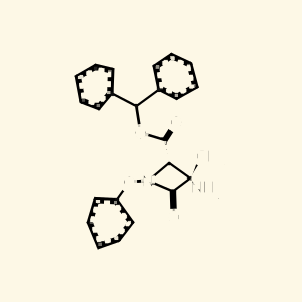 C[C@@]1(N)C(=O)N(Oc2ccccc2)[C@@H]1C(=O)OC(c1ccccc1)c1ccccc1